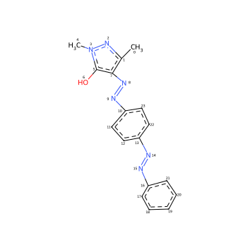 Cc1nn(C)c(O)c1N=Nc1ccc(N=Nc2ccccc2)cc1